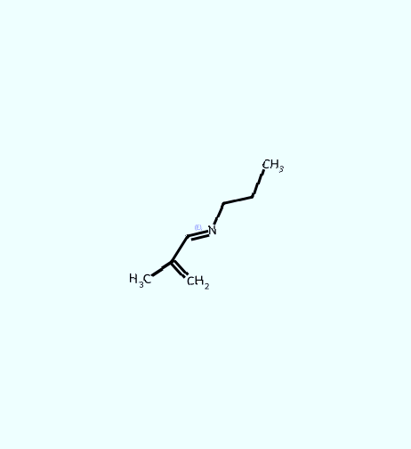 C=C(C)/C=N/CCC